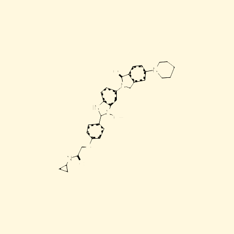 CN1c2cc(N3Cc4cc(N5CCCCC5)ccc4C3=O)ccc2NC1c1ccc(OCC(=O)NC2CC2)cc1